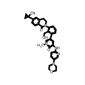 Cn1cc(-c2cccc(N3CCc4cc(C5(C#N)CC5)ccc4C3=O)c2CO)cc(Nc2ccc(N3CCOCC3)cn2)c1=O